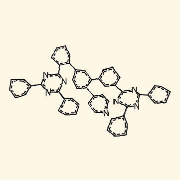 c1ccc(-c2nc(-c3ccccc3)nc(-c3cccc(-c4cc(-c5ccccc5-c5nc(-c6ccccc6)nc(-c6ccccc6)n5)ccc4-c4ccncc4)c3)n2)cc1